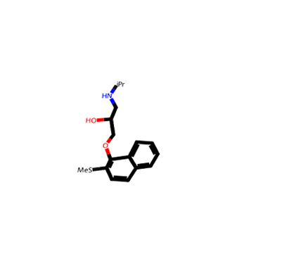 CSc1ccc2ccccc2c1OCC(O)CNC(C)C